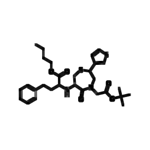 CCCCOC(=O)C(CCc1ccccc1)NC1CSC(c2ccsc2)CN(CC(=O)OC(C)(C)C)C1=O